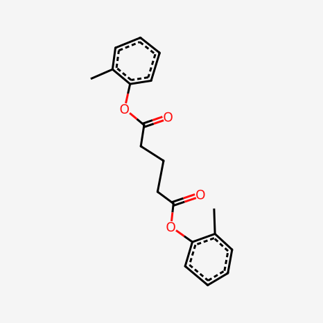 Cc1ccccc1OC(=O)CCCC(=O)Oc1ccccc1C